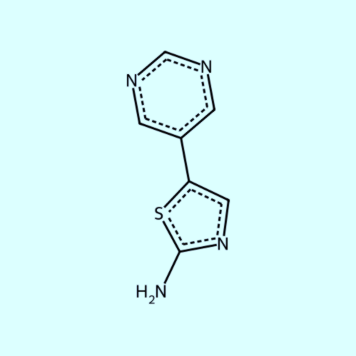 Nc1ncc(-c2cncnc2)s1